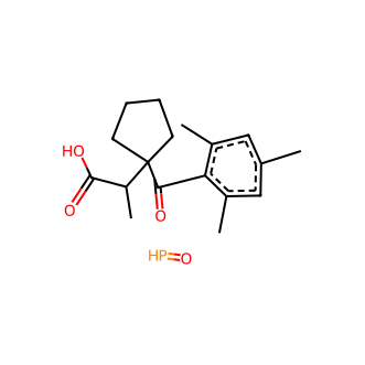 Cc1cc(C)c(C(=O)C2(C(C)C(=O)O)CCCC2)c(C)c1.O=P